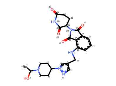 CC(C)(C)C(O)N1CCC(n2cc(CNc3cccc4c3C(=O)N(C3CCC(=O)NC3=O)C4=O)cn2)CC1